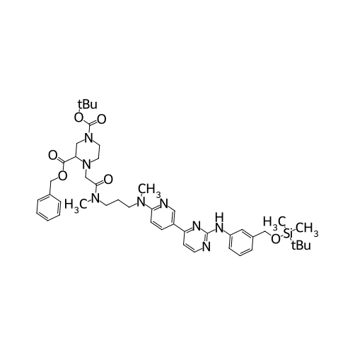 CN(CCCN(C)c1ccc(-c2ccnc(Nc3cccc(CO[Si](C)(C)C(C)(C)C)c3)n2)cn1)C(=O)CN1CCN(C(=O)OC(C)(C)C)CC1C(=O)OCc1ccccc1